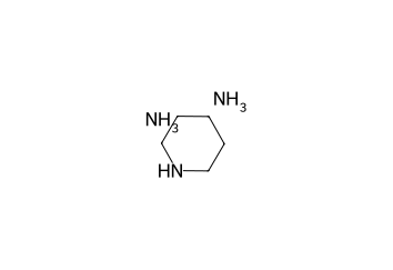 C1CCNCC1.N.N